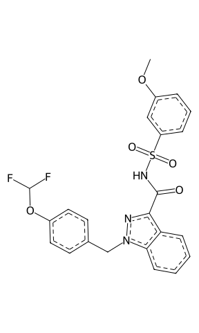 COc1cccc(S(=O)(=O)NC(=O)c2nn(Cc3ccc(OC(F)F)cc3)c3ccccc23)c1